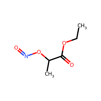 CCOC(=O)C(C)ON=O